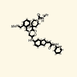 CCC1(C(=O)N(CC(=O)Nc2ccc3c(c2)C/C(=C/C(=O)Nc2ccccn2)C3)Cc2ccccc2CNC)CCN(C(=O)NC(C)C)CC1